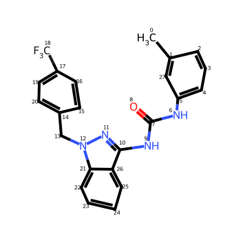 Cc1cccc(NC(=O)Nc2nn(Cc3ccc(C(F)(F)F)cc3)c3ccccc23)c1